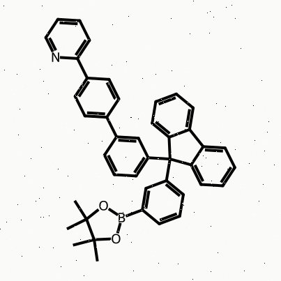 CC1(C)OB(c2cccc(C3(c4cccc(-c5ccc(-c6ccccn6)cc5)c4)c4ccccc4-c4ccccc43)c2)OC1(C)C